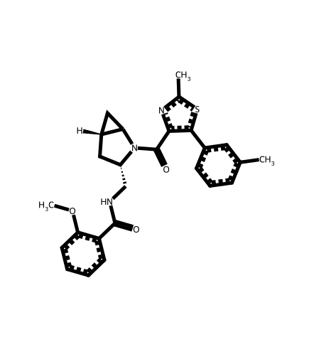 COc1ccccc1C(=O)NC[C@@H]1C[C@@H]2CC2N1C(=O)c1nc(C)sc1-c1cccc(C)c1